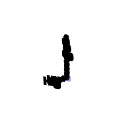 CCCOCCOCCOC(=O)CCCCCCCCC/C=C\CCCCNC(=O)NCC